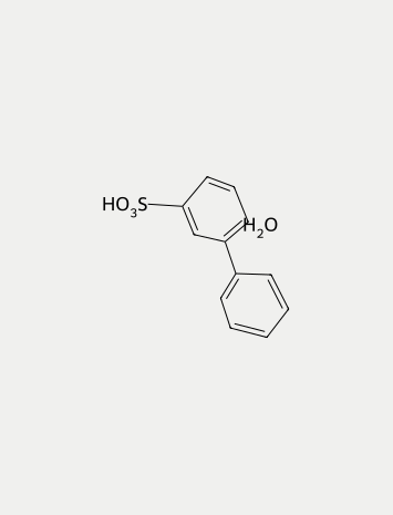 O.O=S(=O)(O)c1cccc(-c2ccccc2)c1